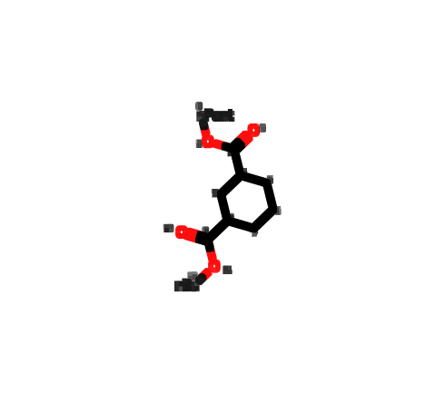 CCCCCOC(=O)C1CCCC(C(=O)OCCCC)C1